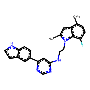 COc1ccc(F)c2c1cc(C#N)n2CCNc1cc(-c2ccc3[nH]ccc3c2)ncn1